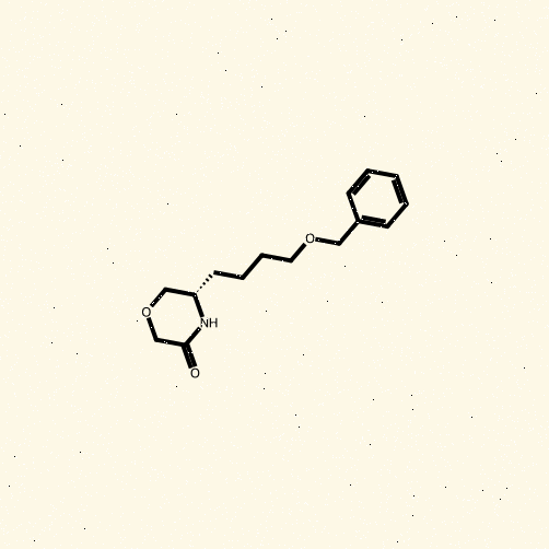 O=C1COC[C@H](CCCCOCc2ccccc2)N1